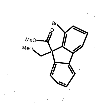 COCC1(C(=O)OC)c2ccccc2-c2cccc(Br)c21